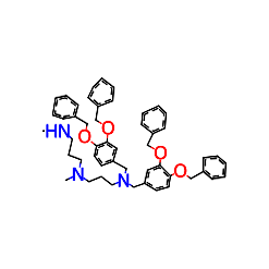 CN(CCC[NH])CCCN(Cc1ccc(OCc2ccccc2)c(OCc2ccccc2)c1)Cc1ccc(OCc2ccccc2)c(OCc2ccccc2)c1